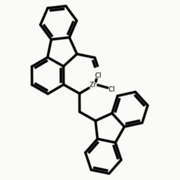 C=CC1c2ccccc2-c2cccc([CH](CC3c4ccccc4-c4ccccc43)[Zr]([Cl])[Cl])c21